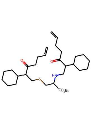 C=CCCC(=O)C(CNC(CSCC(C(=O)CCC=C)C1CCCCC1)C(=O)OCC)C1CCCCC1